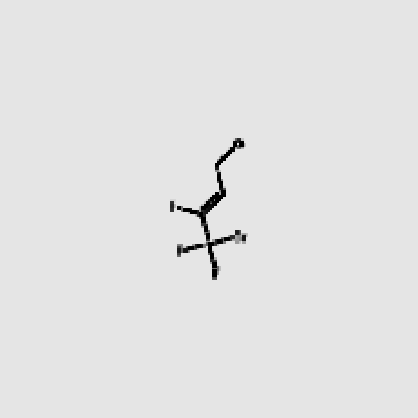 [O]CC=C(F)C(F)(F)Br